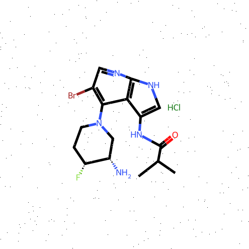 CC(C)C(=O)Nc1c[nH]c2ncc(Br)c(N3CC[C@@H](F)[C@@H](N)C3)c12.Cl